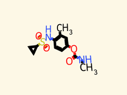 CNC(=O)Oc1ccc(NS(=O)(=O)C2CC2)c(C)c1